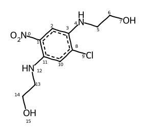 O=[N+]([O-])c1cc(NCCO)c(Cl)cc1NCCO